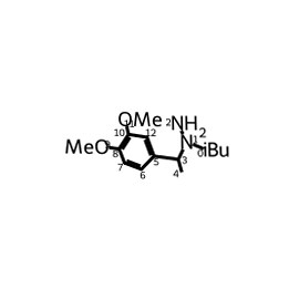 CCC(C)N(N)C(C)c1ccc(OC)c(OC)c1